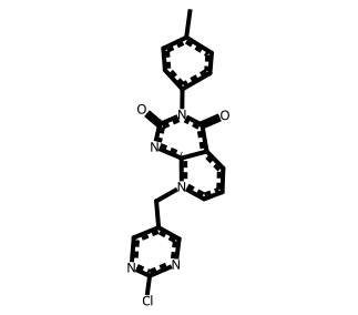 Cc1ccc(-n2c(=O)nc3n(Cc4cnc(Cl)nc4)cccc-3c2=O)cc1